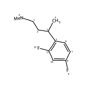 CNCCC(C)c1ccc(F)cc1F